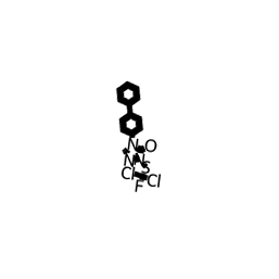 O=c1n(-c2ccc(-c3ccccc3)cc2)cnn1SC(F)(Cl)Cl